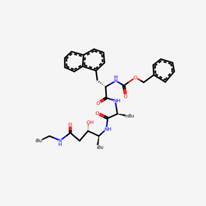 CCCC[C@H](NC(=O)[C@H](Cc1cccc2ccccc12)NC(=O)OCc1ccccc1)C(=O)N[C@@H](C(C)CC)[C@@H](O)CC(=O)NCC(C)CC